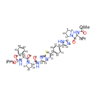 COC(=O)N[C@H](C(=O)N1CCC[C@H]1c1ncc(-c2ccc(-c3cn4cc(NC(=O)[C@@H]5CCCN5C(=O)[C@H](NC(=O)OC(C)C)c5ccccc5)nc4s3)cc2)[nH]1)C(C)C